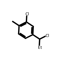 CCC(Cl)c1ccc(C)c(Cl)c1